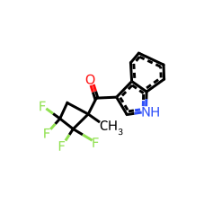 CC1(C(=O)c2c[nH]c3ccccc23)CC(F)(F)C1(F)F